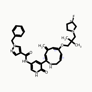 C=C1/C=C(/c2cc(NC(=O)c3cnn(Cc4ccccc4)c3)c[nH]c2=O)NC/C=C\C(OCC(C)(C)CN2CC[C@@H](F)C2)=C/1